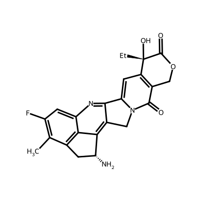 CC[C@@]1(O)C(=O)OCc2c1cc1n(c2=O)Cc2c-1nc1cc(F)c(C)c3c1c2[C@H](N)C3